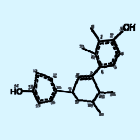 Cc1c(O)ccc(C2=CC(c3ccc(O)cc3)CC(C)C2C)c1C